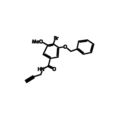 C#CCNC(=O)c1cc(OC)c(Br)c(OCc2ccccc2)c1